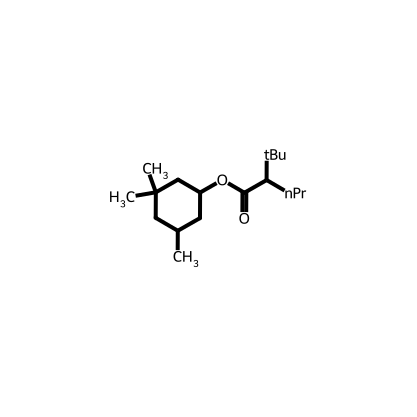 CCCC(C(=O)OC1CC(C)CC(C)(C)C1)C(C)(C)C